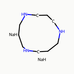 C1CNCCCNCCCNC1.[NaH].[NaH]